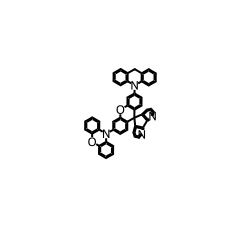 c1ccc2c(c1)Cc1ccccc1N2c1ccc2c(c1)Oc1cc(N3c4ccccc4Oc4ccccc43)ccc1C21c2cccnc2-c2ncccc21